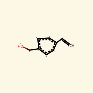 [CH]=Cc1ccc(CO)cc1